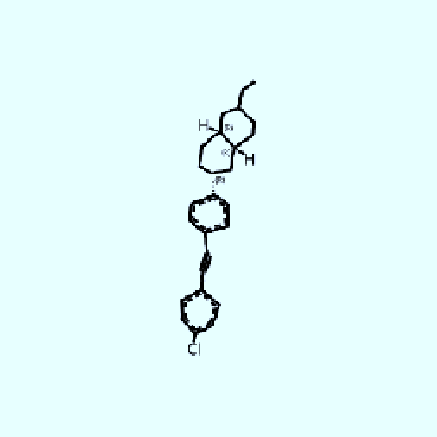 CCC1CC[C@@H]2C[C@H](c3ccc(C#Cc4ccc(Cl)cc4)cc3)CC[C@@H]2C1